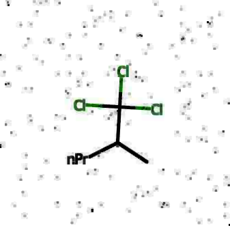 CCC[C](C)C(Cl)(Cl)Cl